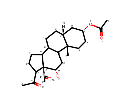 CC(=O)O[C@@H]1CC[C@]2(C)C3C[C@H](O)[C@]4(C(C)=O)C(C(C)=O)CCC4C3CC[C@@H]2C1